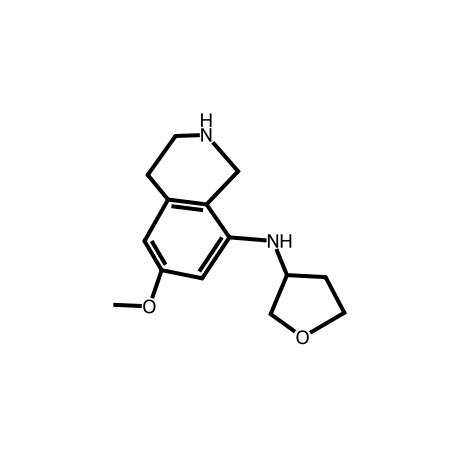 COc1cc2c(c(NC3CCOC3)c1)CNCC2